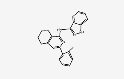 Cc1ccccc1-c1cc2c(c(Nc3n[nH]c4ccccc34)n1)CCCC2